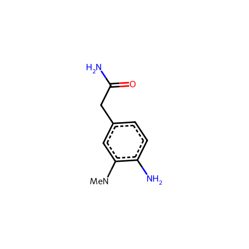 CNc1cc(CC(N)=O)ccc1N